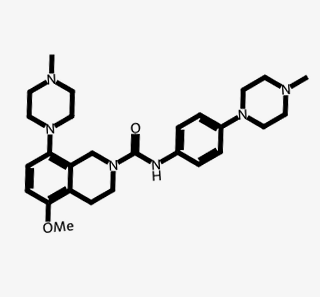 COc1ccc(N2CCN(C)CC2)c2c1CCN(C(=O)Nc1ccc(N3CCN(C)CC3)cc1)C2